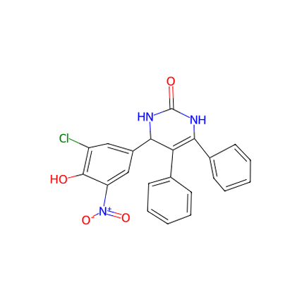 O=C1NC(c2ccccc2)=C(c2ccccc2)C(c2cc(Cl)c(O)c([N+](=O)[O-])c2)N1